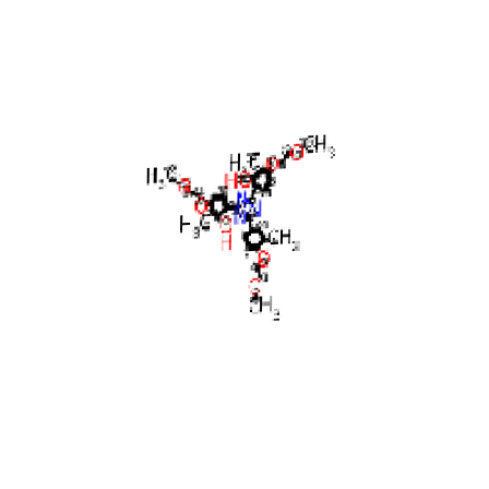 CCOCCOc1ccc(-c2nc(-c3ccc(OCCOCC)c(C)c3O)nc(-c3ccc(OCCOCC)c(C)c3O)n2)cc1C